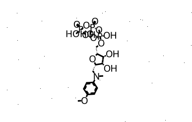 COc1ccc(N(C)C[C@@H]2O[C@H](COP(=O)(O)OP(=O)(O)OP(=O)(O)O)[C@@H](O)[C@H]2O)cc1